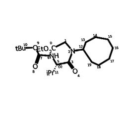 CCOC(=O)CN(C(=O)[C@@H](NC(=O)OC(C)(C)C)C(C)C)C1CCCCCCC1